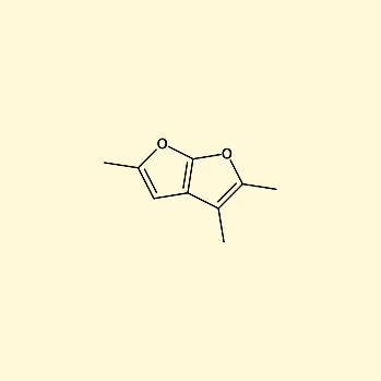 Cc1cc2c(C)c(C)oc2o1